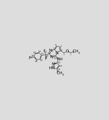 CCOCc1ccc2nc(C(F)(F)c3ccc(F)cc3)nc(Nc3cc(C)[nH]n3)n12